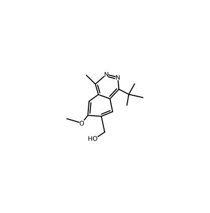 COc1cc2c(C)nnc(C(C)(C)C)c2cc1CO